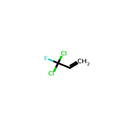 C=CC(F)(Cl)Cl